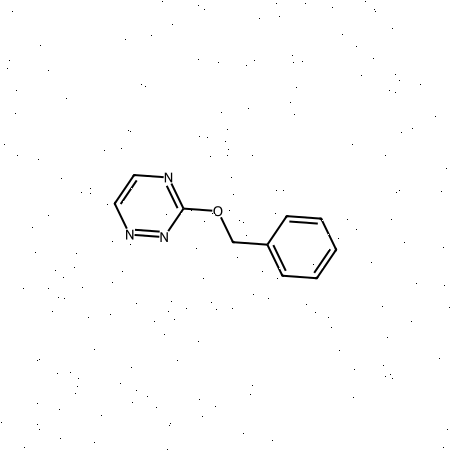 c1ccc(COc2nccnn2)cc1